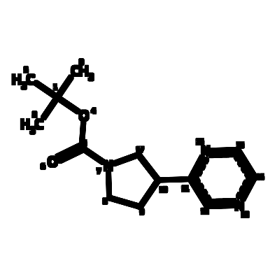 CC(C)(C)OC(=O)N1CCC(c2cnccn2)C1